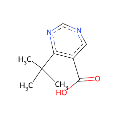 CC(C)(C)c1ncncc1C(=O)O